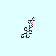 c1ccc(-c2cccc3c2oc2ccc(-c4c5ccccc5c(-c5cc6ccccc6c6ccccc56)c5ccccc45)cc23)cc1